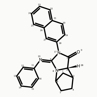 O=C1[C@@H]2C3CCC(C3)N2/C(=N\c2ccccc2)N1c1ccc2ccccc2c1